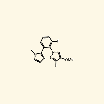 COc1cn(-c2c(F)cccc2-c2nccn2C)nc1C